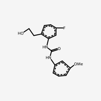 COc1cccc(NC(=O)Nc2cc(F)ccc2CCO)c1